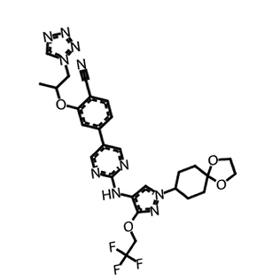 CC(Cn1cnnn1)Oc1cc(-c2cnc(Nc3cn(C4CCC5(CC4)OCCO5)nc3OCC(F)(F)F)nc2)ccc1C#N